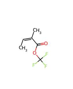 CC=C(C)C(=O)OC(F)(F)F